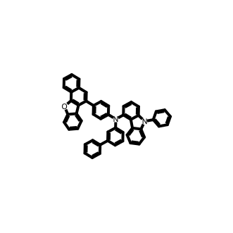 c1ccc(-c2cccc(N(c3ccc(-c4cc5ccccc5c5oc6ccccc6c45)cc3)c3cccc4c3c3ccccc3n4-c3ccccc3)c2)cc1